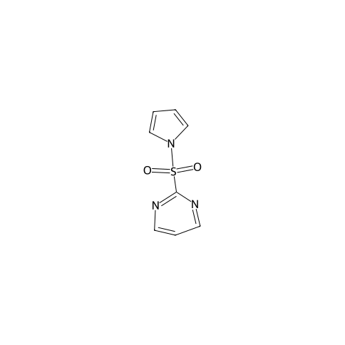 O=S(=O)(c1ncccn1)n1cccc1